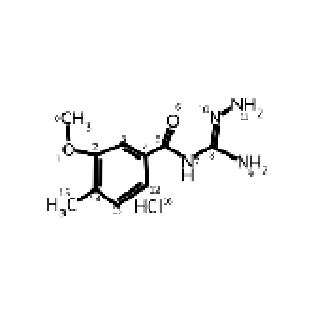 COc1cc(C(=O)NC(N)=NN)ccc1C.Cl